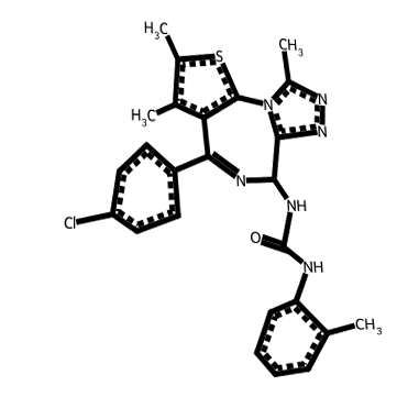 Cc1ccccc1NC(=O)NC1N=C(c2ccc(Cl)cc2)c2c(sc(C)c2C)-n2c(C)nnc21